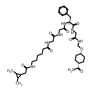 CC1C(C)C1CC(=O)NCCCCCC(=O)NCC(=O)NCC(=O)N[C@@H](Cc1ccccc1)C(=O)NCC(=O)NCO[C@H]1CC[C@@H](C(N)=O)CC1